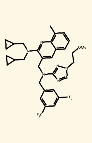 COCCn1nnc(N(Cc2cc(C(F)(F)F)cc(C(F)(F)F)c2)Cc2cc3cccc(C)c3nc2N(CC2CC2)CC2CC2)n1